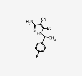 CC/C(NC(C)c1ccc(F)cc1)=C(\C#N)C(N)=S